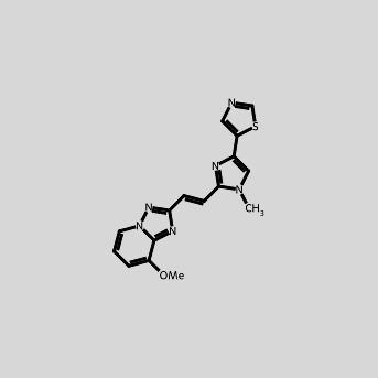 COc1cccn2nc(C=Cc3nc(-c4cncs4)cn3C)nc12